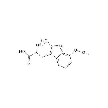 COc1cccc2c(CC(N)C(=O)O)c(C)[nH]c12